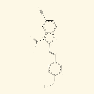 COc1ccc(C=Cc2oc3ccc(C#N)cc3c2C(C)=O)cc1